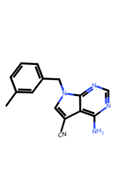 Cc1cccc(Cn2cc(C#N)c3c(N)ncnc32)c1